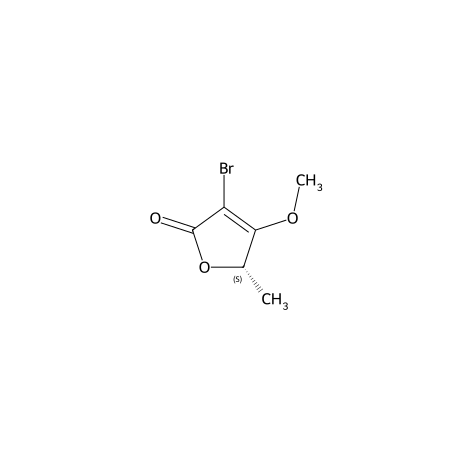 COC1=C(Br)C(=O)O[C@H]1C